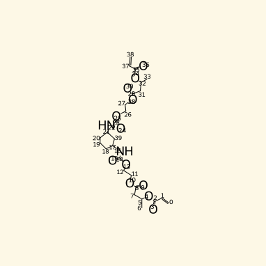 C=CC(=O)OC(C)CC(=O)OCCOC(=O)NC1CCCC(NC(=O)OCCOC(=O)CC(C)OC(=O)C=C)C1